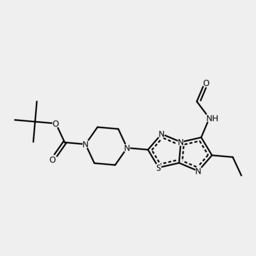 CCc1nc2sc(N3CCN(C(=O)OC(C)(C)C)CC3)nn2c1NC=O